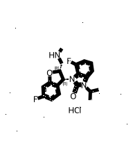 CNC[C@H]1Oc2cc(F)ccc2[C@H]1n1c(=O)n(C(C)C)c2cccc(F)c21.Cl